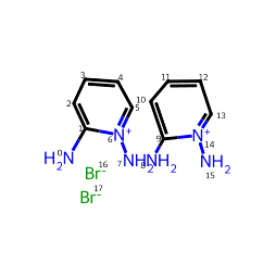 Nc1cccc[n+]1N.Nc1cccc[n+]1N.[Br-].[Br-]